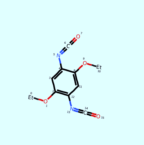 CCOc1cc(N=C=O)c(OCC)cc1N=C=O